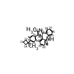 Cc1nc2n(c1-c1ccc(C3(C)CCC3)cc1)-c1cccnc1Nc1ccccc1-2